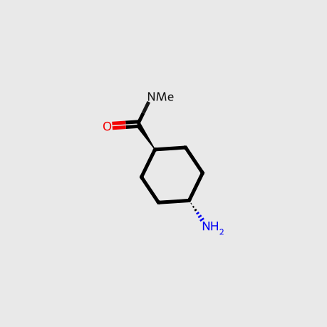 CNC(=O)[C@H]1CC[C@H](N)CC1